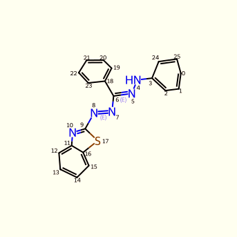 c1ccc(N/N=C(/N=N/c2nc3ccccc3s2)c2ccccc2)cc1